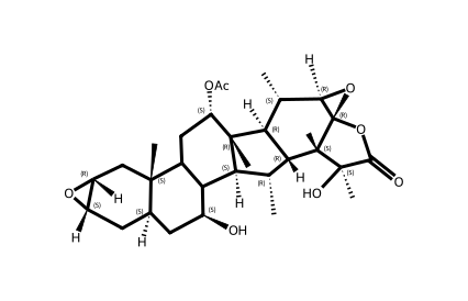 CC(=O)O[C@H]1CC2C([C@@H]3[C@@H](C)[C@@H]4[C@H]([C@H](C)[C@H]5O[C@]56OC(=O)[C@@](C)(O)[C@]46C)[C@@]13C)[C@@H](O)C[C@H]1C[C@@H]3O[C@@H]3C[C@]21C